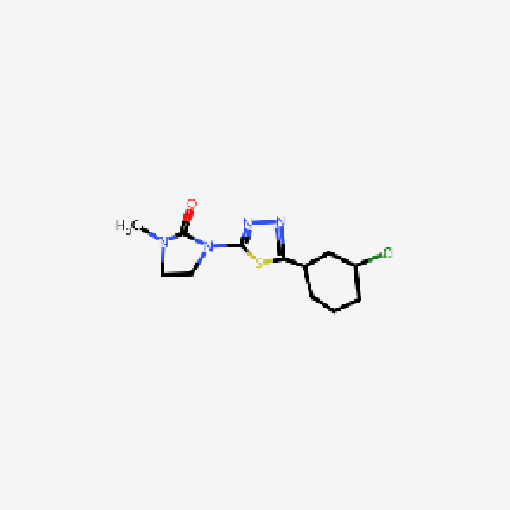 CN1CCN(c2nnc(C3CCCC(Cl)C3)s2)C1=O